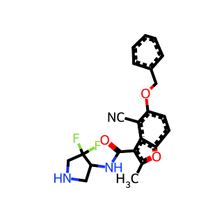 Cc1oc2ccc(OCc3ccccc3)c(C#N)c2c1C(=O)NC1CNCC1(F)F